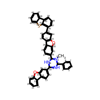 CN1C(c2ccccc2)NC(c2ccc3c(c2)oc2ccccc23)NC1c1ccc2c(c1)oc1cc(-c3cccc4c3sc3ccccc34)ccc12